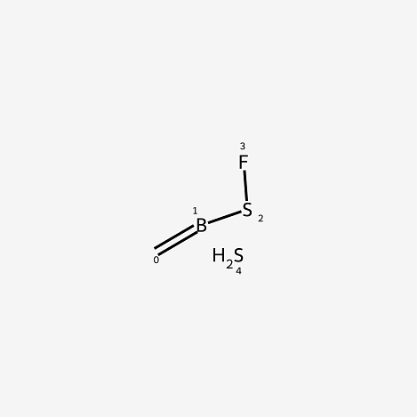 C=BSF.S